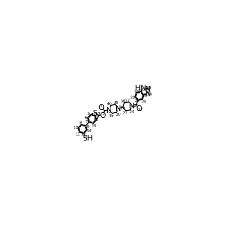 O=C(OC1Sc2cc(-c3cccc(S)c3)cc1c2)N1CCN(C2CCN(C(=O)c3ccc4[nH]nnc4c3)CC2)CC1